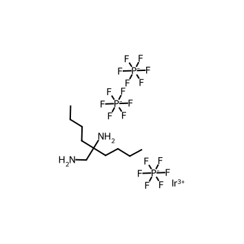 CCCCC(N)(CN)CCCC.F[P-](F)(F)(F)(F)F.F[P-](F)(F)(F)(F)F.F[P-](F)(F)(F)(F)F.[Ir+3]